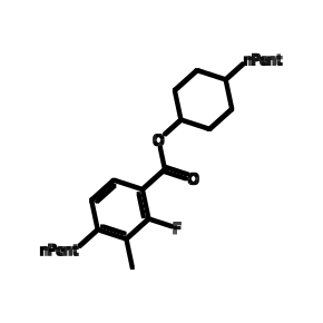 CCCCCc1ccc(C(=O)OC2CCC(CCCCC)CC2)c(F)c1C